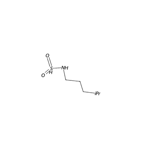 CC(C)CCCN[SH](=O)=O